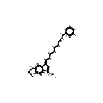 FC(F)(F)C1=C/C(=C\CCCCCCOCc2ccccc2)c2cc3c(cc21)OCO3